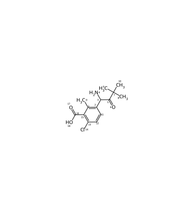 Cc1c(C(N)C(=O)C(C)(C)C)ccc(Cl)c1C(=O)O